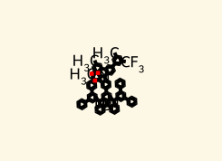 Cc1cc(C)cc(-c2cc(-c3cc(C)cc(C(F)(F)F)c3)ccc2-n2c3ccccc3c3cc(-c4cc5c6c(c4)N(c4cc(-c7ccccc7)cc(-c7ccccc7)c4)c4ccccc4B6c4ccccc4N5c4cc(-c5ccccc5)cc(-c5ccccc5)c4)ccc32)c1